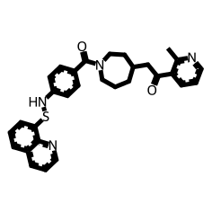 Cc1ncccc1C(=O)CC1CCCN(C(=O)c2ccc(NSc3cccc4cccnc34)cc2)CC1